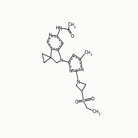 CCS(=O)(=O)C1CN(c2nc(C)cc(N3CC4(CC4)c4cnc(NC(C)=O)cc43)n2)C1